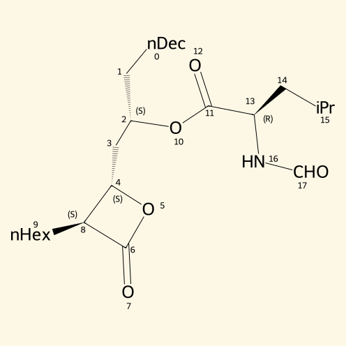 CCCCCCCCCCC[C@@H](C[C@@H]1OC(=O)[C@H]1CCCCCC)OC(=O)[C@@H](CC(C)C)NC=O